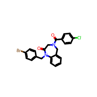 O=C(c1ccc(Cl)cc1)N1CC(=O)N(Cc2ccc(Br)cc2)c2ccccc2C1